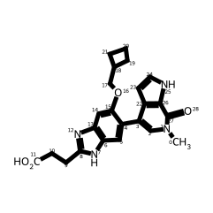 Cn1cc(-c2cc3[nH]c(CCC(=O)O)nc3cc2OCC2CCC2)c2cc[nH]c2c1=O